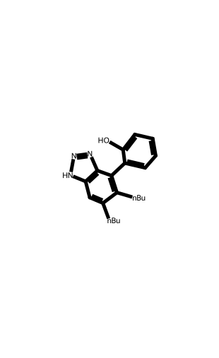 CCCCc1cc2[nH]nnc2c(-c2ccccc2O)c1CCCC